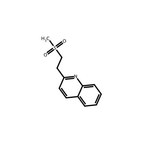 CS(=O)(=O)CCc1ccc2ccccc2n1